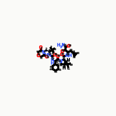 CC(C)(C)[C@@H](CN1C(=O)COCC1=O)NC(=O)N[C@H](C(=O)N1C[C@H]2[C@@H]([C@H]1C(=O)NC(CC1CC1)C(=O)C(N)=O)C2(C)C)C1CCCCC1